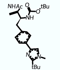 C=C(NC(C)=O)[C@H](Cc1ccc(-c2cn(C)c(C(C)(C)C)n2)cc1)NC(=O)OC(C)(C)C